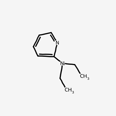 C[CH2][Ni]([CH2]C)[c]1ccccn1